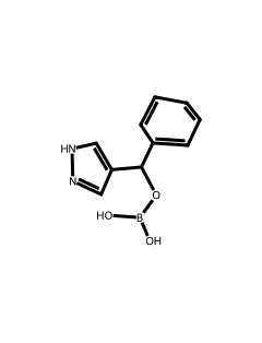 OB(O)OC(c1ccccc1)c1cn[nH]c1